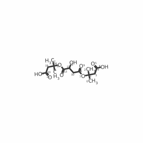 CC(C)(CC(=O)O)OC(=O)CC(O)C(=O)OC(C)(C)CC(=O)O